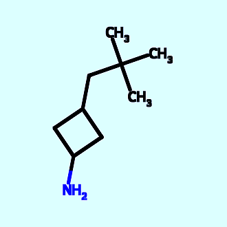 CC(C)(C)CC1CC(N)C1